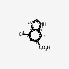 O=C(O)c1cc(Cl)c2nc[nH]c2c1